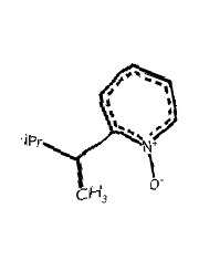 C[C](C)C(C)c1cccc[n+]1[O-]